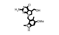 COc1cc2[nH]n(C)c2c(CN2CC(CO)c3c(Cl)nc(N)nc32)c1C